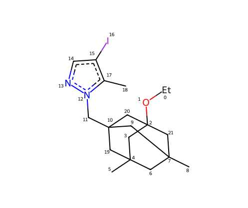 CCOC12CC3(C)CC(C)(CC(Cn4ncc(I)c4C)(C3)C1)C2